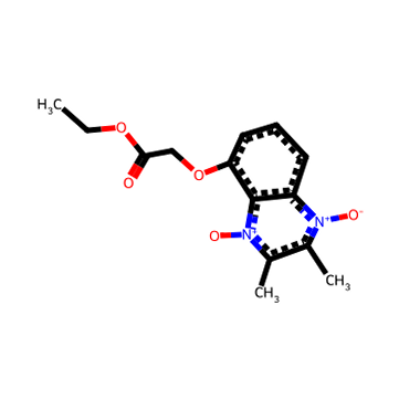 CCOC(=O)COc1cccc2c1[n+]([O-])c(C)c(C)[n+]2[O-]